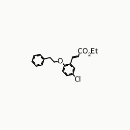 CCOC(=O)/C=C/c1cc(Cl)ccc1OCCc1ccccc1